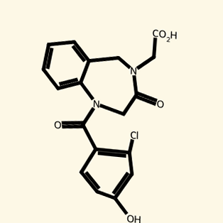 O=C(O)CN1Cc2ccccc2N(C(=O)c2ccc(O)cc2Cl)CC1=O